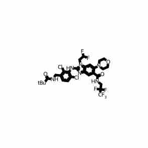 CC(C)(C)C(=O)NCc1ccc(Cl)c(Nc2nc3cc(C(=O)NCC(F)(F)C(F)(F)F)c(N4CCOCC4)cc3n2CC(F)F)c1Cl